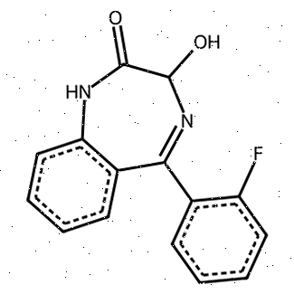 O=C1Nc2ccccc2C(c2ccccc2F)=NC1O